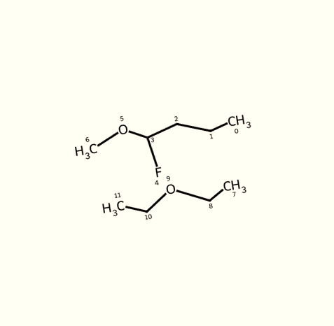 CCCC(F)OC.CCOCC